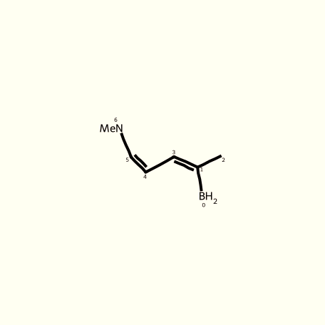 B/C(C)=C\C=C/NC